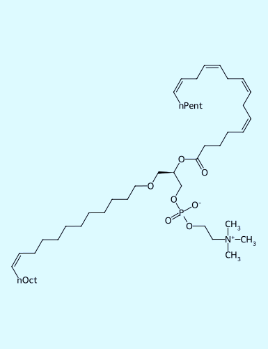 CCCCC/C=C\C/C=C\C/C=C\C/C=C\CCCC(=O)O[C@H](COCCCCCCCCCC/C=C\CCCCCCCC)COP(=O)([O-])OCC[N+](C)(C)C